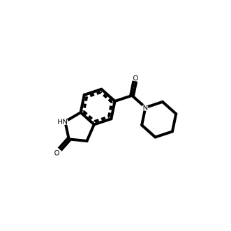 O=C1Cc2cc(C(=O)N3CCCCC3)ccc2N1